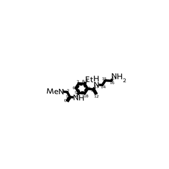 C=C(CNC)Nc1ccc(CC)c(C(=C)NCCCN)c1